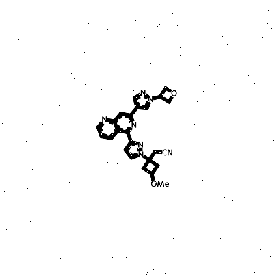 COC1CC(CC#N)(n2ccc(-c3nc(-c4cnn(C5COC5)c4)cc4ncccc34)n2)C1